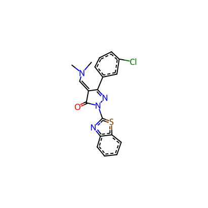 CN(C)/C=C1/C(=O)N(c2nc3ccccc3s2)N=C1c1cccc(Cl)c1